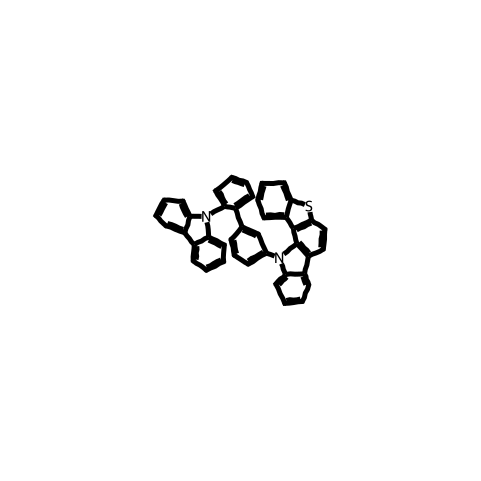 c1cc(-c2ccccc2-n2c3ccccc3c3ccccc32)cc(-n2c3ccccc3c3ccc4sc5ccccc5c4c32)c1